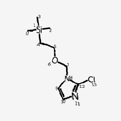 C[Si](C)(C)CCOCn1ccnc1Cl